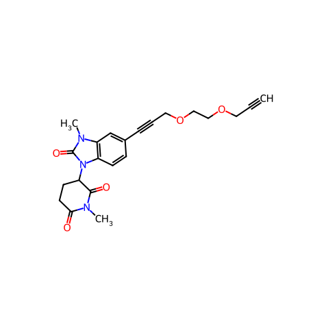 C#CCOCCOCC#Cc1ccc2c(c1)n(C)c(=O)n2C1CCC(=O)N(C)C1=O